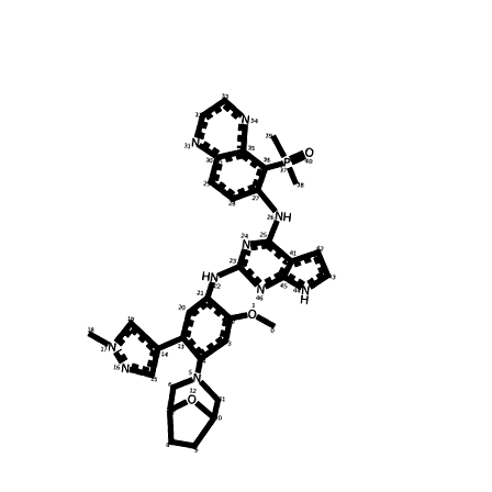 COc1cc(N2CC3CCC(C2)O3)c(-c2cnn(C)c2)cc1Nc1nc(Nc2ccc3nccnc3c2P(C)(C)=O)c2cc[nH]c2n1